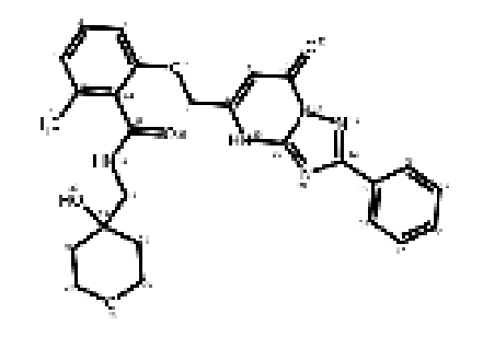 Cc1cccc(OCc2cc(=O)n3nc(-c4ccccc4)nc3[nH]2)c1C(=O)NCC1(O)CCOCC1